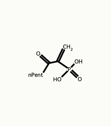 C=C(C(=O)CCCCC)P(=O)(O)O